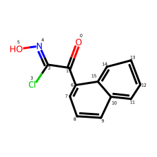 O=C(C(Cl)=NO)c1cccc2ccccc12